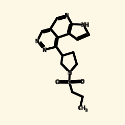 CCCS(=O)(=O)N1CCC(c2nncc3cnc4[nH]ccc4c23)C1